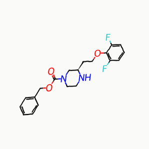 O=C(OCc1ccccc1)N1CCN[C@H](CCOc2c(F)cccc2F)C1